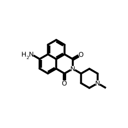 CN1CCC(N2C(=O)c3cccc4c(N)ccc(c34)C2=O)CC1